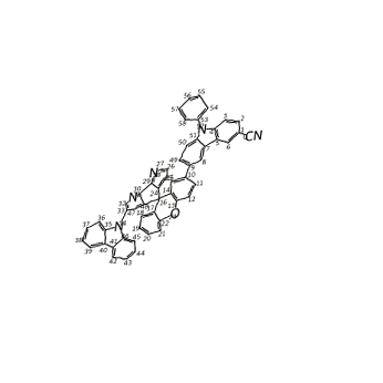 N#Cc1ccc2c(c1)c1cc(-c3ccc4c(c3)C3(c5ccccc5O4)c4cccnc4-c4ncc(-n5c6ccccc6c6ccccc65)cc43)ccc1n2-c1ccccc1